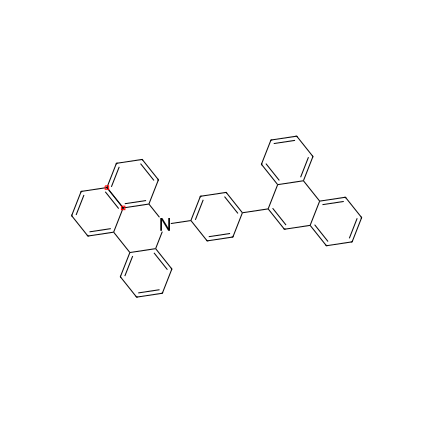 c1ccc(-c2ccccc2N(c2ccccc2)c2ccc(-c3cc4ccccc4c4ccccc34)cc2)cc1